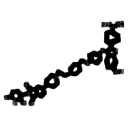 O=C1CCC(N2C(=O)c3ccc(C4CCN(CCN5CCC(COc6ccc(Oc7c(-c8ccc(B(O)O)cc8)sc8cc(O)ccc78)cc6)CC5)CC4)cc3C2=O)C(=O)N1